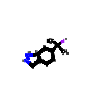 CC(C)(I)c1ccc2cn[nH]c2c1